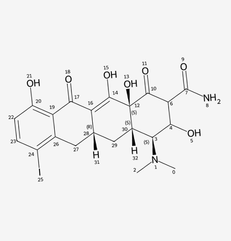 CN(C)[C@@H]1C(O)C(C(N)=O)C(=O)[C@@]2(O)C(O)=C3C(=O)c4c(O)ccc(I)c4C[C@H]3C[C@@H]12